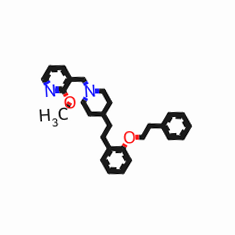 COc1ncccc1CN1CCC(CCc2ccccc2OCCc2ccccc2)CC1